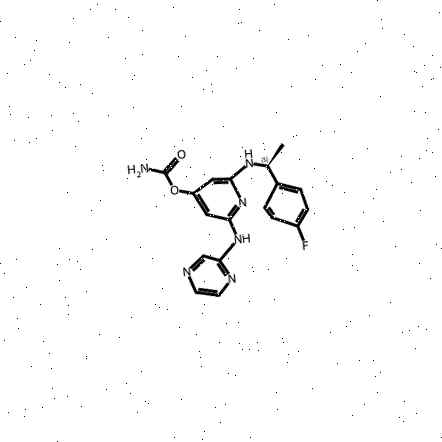 C[C@H](Nc1cc(OC(N)=O)cc(Nc2cnccn2)n1)c1ccc(F)cc1